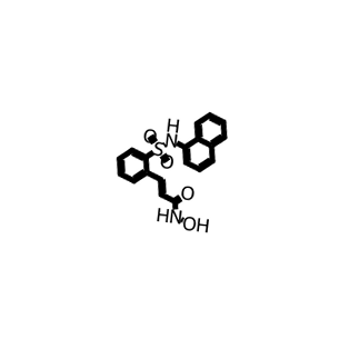 O=C(/C=C/c1ccccc1S(=O)(=O)Nc1cccc2ccccc12)NO